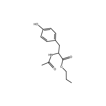 CCCOC(=O)C(Cc1ccc(O)cc1)NC(C)=O